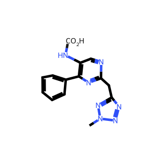 Cn1nnc(Cc2ncc(NC(=O)O)c(-c3ccccc3)n2)n1